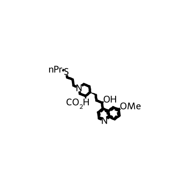 CCCSCCCN1CC[C@@H](CC[C@@H](O)c2ccnc3ccc(OC)cc23)[C@@H](C(=O)O)C1